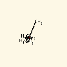 CCCCCCCCCCCCCCCCCCCCC(=O)Oc1c(C(C)(C)C)cccc1C(C)(C)C